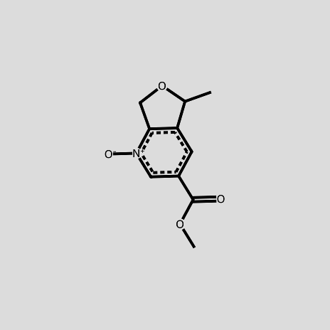 COC(=O)c1cc2c([n+]([O-])c1)COC2C